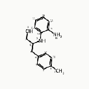 Cc1ccc(CC(CO)Nc2ccccc2N)cc1